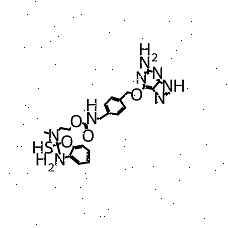 CN(CCOC(=O)NCc1ccc(COc2nc(N)nc3[nH]cnc23)cc1)C(C)(S)Oc1ccccc1N